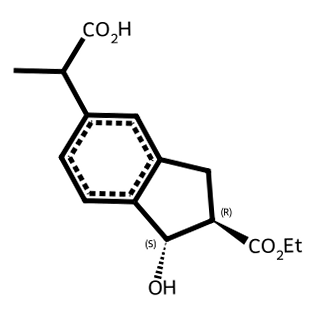 CCOC(=O)[C@@H]1Cc2cc(C(C)C(=O)O)ccc2[C@H]1O